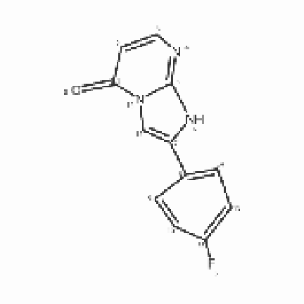 O=c1ccnc2[nH]c(-c3ccc(F)cc3)cn12